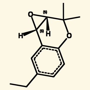 CCc1ccc2c(c1)[C@@H]1O[C@@H]1C(C)(C)O2